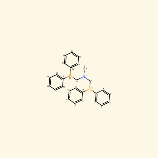 CCN(CP(c1ccccc1)c1ccccc1)CP(c1ccccc1)c1ccccc1